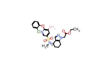 Bc1cc(S(=O)(=O)N(C)[C@@H]2CCCc3c2cnn3CC(=O)OCC)cnc1Oc1ccccc1Cl